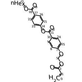 C=CC(=O)OCOc1ccc(C(=O)Oc2ccc(C(=O)OCCCCCC)cc2)cc1